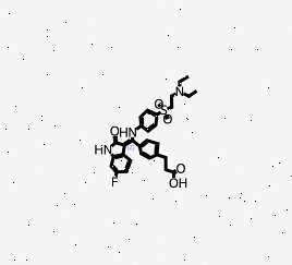 CCN(CC)CCS(=O)(=O)c1ccc(N/C(=C2\C(=O)Nc3cc(F)ccc32)c2ccc(CCC(=O)O)cc2)cc1